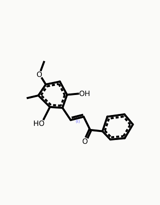 COc1cc(O)c(/C=C/C(=O)c2ccccc2)c(O)c1C